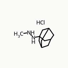 CNNC12CC3CC(CC(C3)C1)C2.Cl